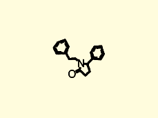 O=C1CCC(c2ccccc2)N1CCc1ccccc1